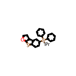 CC(C)S(c1ccccc1)(c1ccccc1)c1ccc2sc3occc3c2c1